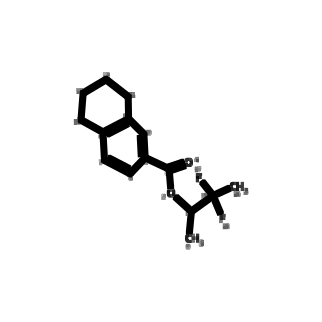 CC(OC(=O)c1ccc2c(c1)CCCC2)C(C)(F)F